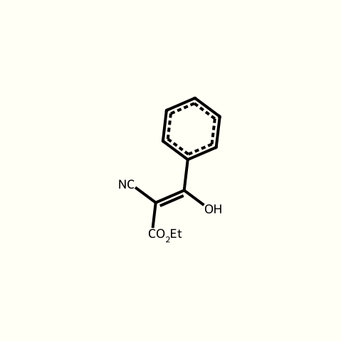 CCOC(=O)/C(C#N)=C(\O)c1ccccc1